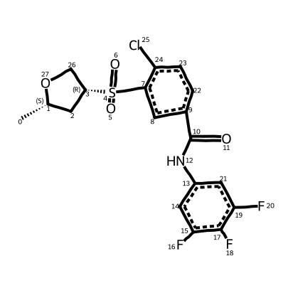 C[C@H]1C[C@@H](S(=O)(=O)c2cc(C(=O)Nc3cc(F)c(F)c(F)c3)ccc2Cl)CO1